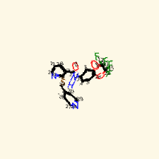 O=C(Nc1ccc2c(c1)OC(F)(F)C(F)(F)O2)c1cccnc1SCc1ccncc1